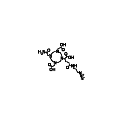 [N-]=[N+]=NCCCNC(=O)CCC(C(=O)O)N1CCN(CC(=O)O)CCN(CC(N)=O)CCN(CC(=O)O)CC1